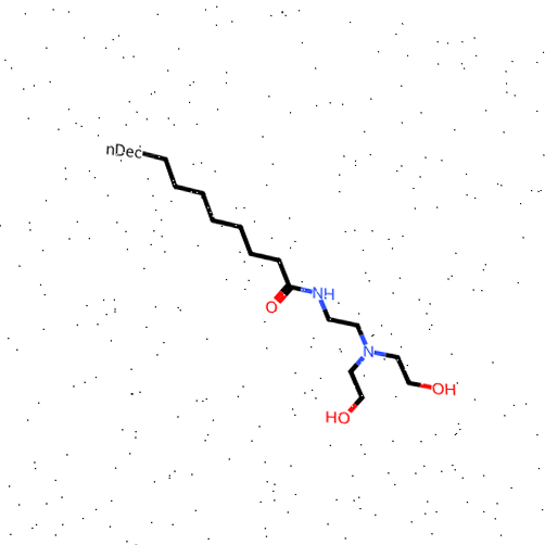 CCCCCCCCCCCCCCCCCC(=O)NCCN(CCO)CCO